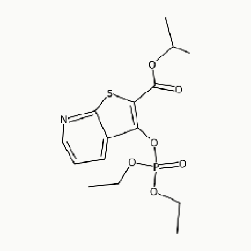 CCOP(=O)(OCC)Oc1c(C(=O)OC(C)C)sc2ncccc12